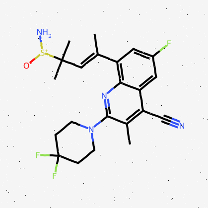 CC(=CC(C)(C)[S+](N)[O-])c1cc(F)cc2c(C#N)c(C)c(N3CCC(F)(F)CC3)nc12